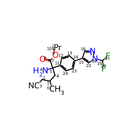 CC(CC#N)CC(N)(C(=O)OC(C)C)c1ccc(-c2cnn(C(F)F)c2)cc1